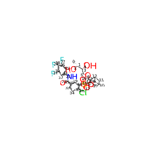 C[C@@H](O)[C@H](O)COCC1(O)C2CC1CC(S(=O)(=O)c1cc(C(=O)Nc3cc(F)c(F)c(F)c3)ccc1Cl)C2